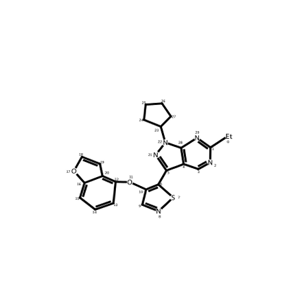 CCc1ncc2c(-c3sncc3Oc3cccc4occc34)nn(C3CCCC3)c2n1